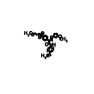 COCCCS(=O)(=O)c1ccc(/C(=N\O[C@@H]2CC[C@@H](OC)C2)C(=O)Nc2cnc(SC)cn2)cc1